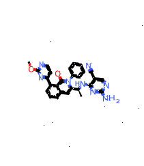 COc1nccc(-c2cccc3cc([C@H](C)Nc4nc(N)ncc4C#N)n(-c4ccccc4)c(=O)c23)n1